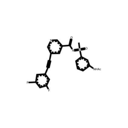 CC(=O)Nc1cccc(S(C)(=O)=NC(=O)c2cncc(C#Cc3cc(F)cc(F)c3)c2)c1